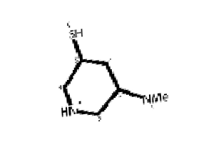 [CH]NC1CNCC(S)C1